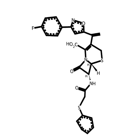 C=C(C1=C(C(=O)O)N2C(=O)[C@@H](NC(=O)CSc3ccccc3)[C@H]2SC1)c1cc(-c2ccc(F)cc2)no1